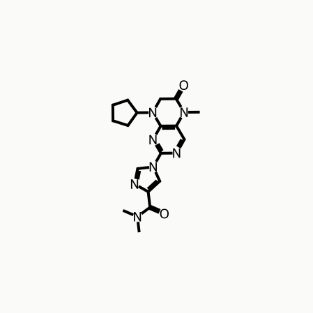 CN(C)C(=O)c1cn(-c2ncc3c(n2)N(C2CCCC2)CC(=O)N3C)cn1